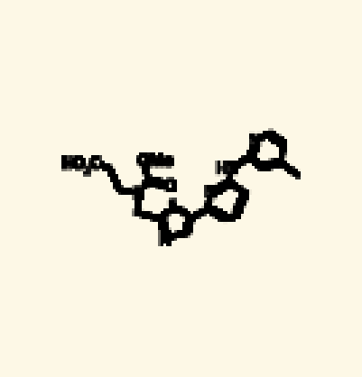 COC(=O)N(CCC(=O)O)Cc1ncc(-c2cccc(Nc3cc(C)ccn3)n2)s1